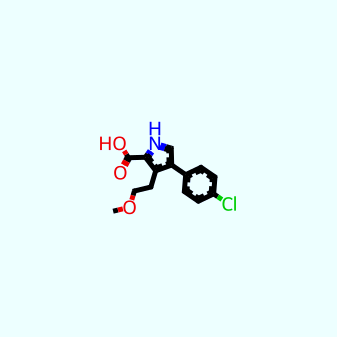 COCCc1c(-c2ccc(Cl)cc2)c[nH]c1C(=O)O